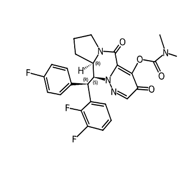 CN(C)C(=O)Oc1c2n(ncc1=O)[C@@H]([C@H](c1ccc(F)cc1)c1cccc(F)c1F)[C@H]1CCCN1C2=O